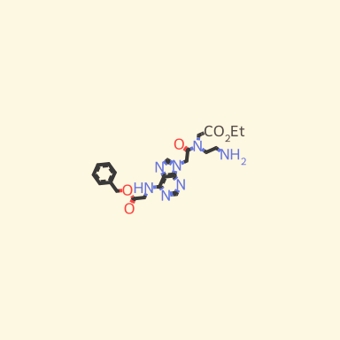 CCOC(=O)CN(CCN)C(=O)Cn1cnc2c(NCC(=O)OCc3ccccc3)ncnc21